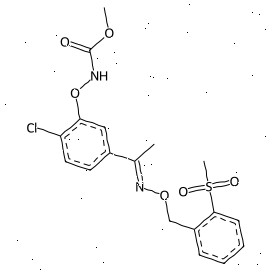 COC(=O)NOc1cc(/C(C)=N/OCc2ccccc2S(C)(=O)=O)ccc1Cl